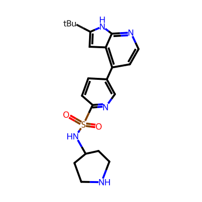 CC(C)(C)c1cc2c(-c3ccc(S(=O)(=O)NC4CCNCC4)nc3)ccnc2[nH]1